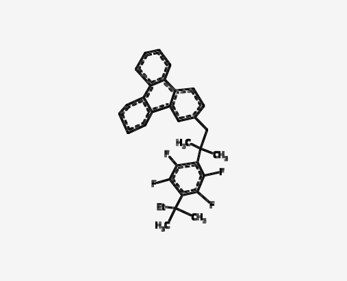 CCC(C)(C)c1c(F)c(F)c(C(C)(C)Cc2ccc3c4ccccc4c4ccccc4c3c2)c(F)c1F